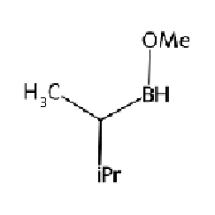 COBC(C)C(C)C